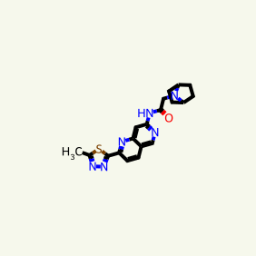 Cc1nnc(-c2ccc3cnc(NC(=O)CN4C5CCC4CC5)cc3n2)s1